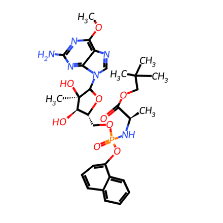 COc1nc(N)nc2c1ncn2C1O[C@H](COP(=O)(N[C@H](C)C(=O)OCC(C)(C)C)Oc2cccc3ccccc23)[C@@H](O)[C@@]1(C)O